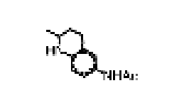 CC(=O)Nc1ccc2c(c1)CCC(C)N2